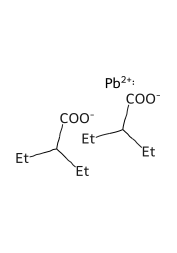 CCC(CC)C(=O)[O-].CCC(CC)C(=O)[O-].[Pb+2]